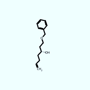 C=CCC[C@@H](O)CCOCc1ccccc1